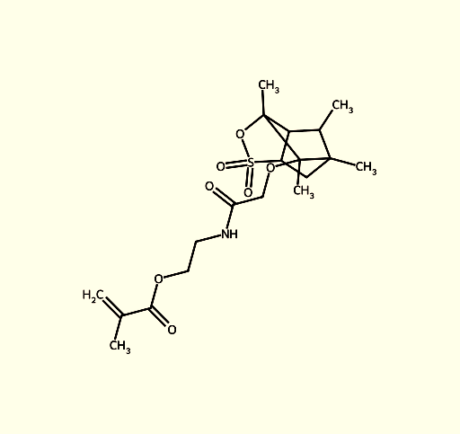 C=C(C)C(=O)OCCNC(=O)COC1(C)C2(C)CC3C(C2C)C1(C)OS3(=O)=O